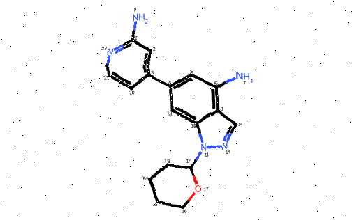 Nc1cc(-c2cc(N)c3cnn(C4CCCCO4)c3c2)ccn1